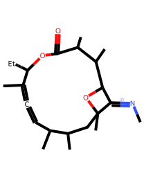 CCC1OC(=O)C(C)C(C)C2OC(C)(CC(C)C(C)C=C=C1C)/C2=N\C